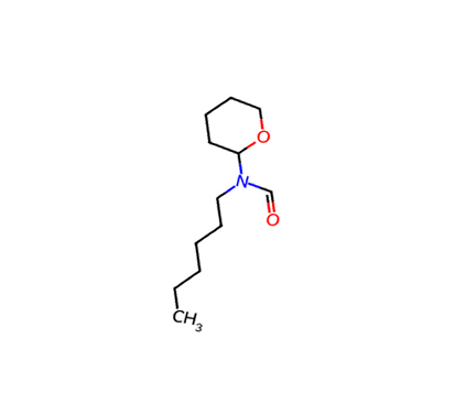 CCCCCCN(C=O)C1CCCCO1